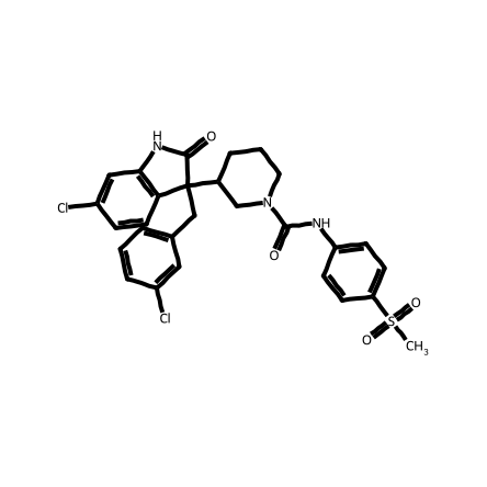 CS(=O)(=O)c1ccc(NC(=O)N2CCCC(C3(Cc4cccc(Cl)c4)C(=O)Nc4cc(Cl)ccc43)C2)cc1